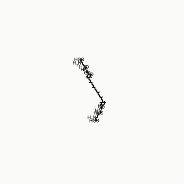 CC1=C(/C=C/C(C)=C/C=C/C(C)=C/C=C/C=C(C)/C=C/C=C(C)/C=C/C2=C(C)C(=O)C(OC(=O)CNC(=O)NCCCC(N)C(=O)O)CC2(C)C)C(C)(C)CC(OC(=O)CNC(=O)NCCCC(N)C(=O)O)C1=O